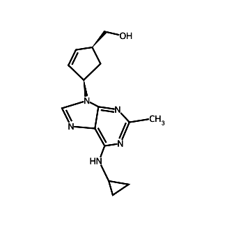 Cc1nc(NC2CC2)c2ncn([C@H]3C=C[C@@H](CO)C3)c2n1